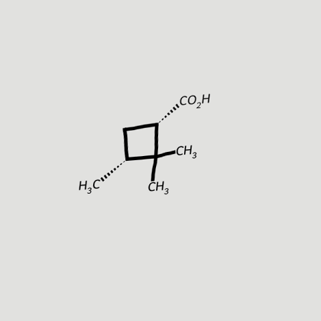 C[C@@H]1C[C@H](C(=O)O)C1(C)C